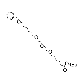 CC(C)(C)OC(=O)CCCCCOCCOCCOCCCCCCOCc1ccccc1